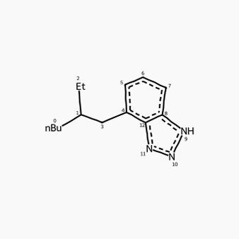 CCCCC(CC)Cc1cccc2[nH]nnc12